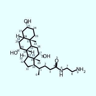 C[C@H](CCC(=O)NCCN)[C@H]1CC[C@H]2[C@H]3C(C[C@H](O)[C@]12C)[C@@]1(C)CC[C@@H](O)C[C@H]1C[C@H]3O